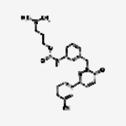 CN(C)CCCOC(=O)Nc1cccc(Cn2nc(-c3cccc(C#N)c3)ccc2=O)c1